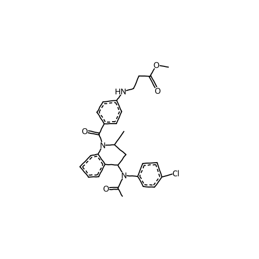 COC(=O)CCNc1ccc(C(=O)N2c3ccccc3C(N(C(C)=O)c3ccc(Cl)cc3)CC2C)cc1